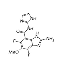 COc1c(F)c(C(=O)Nc2ncc[nH]2)c2[nH]c(N)nc2c1F